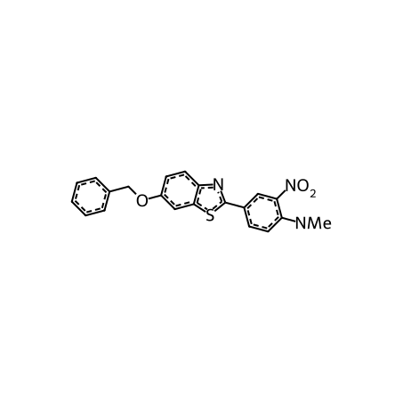 CNc1ccc(-c2nc3ccc(OCc4ccccc4)cc3s2)cc1[N+](=O)[O-]